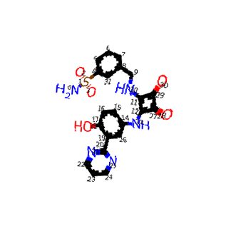 NS(=O)(=O)c1cccc(CNc2c(Nc3ccc(O)c(-c4ncccn4)c3)c(=O)c2=O)c1